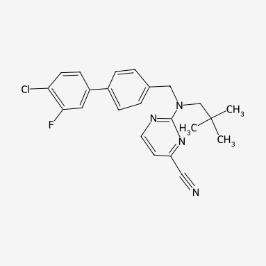 CC(C)(C)CN(Cc1ccc(-c2ccc(Cl)c(F)c2)cc1)c1nccc(C#N)n1